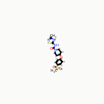 Cc1nsc(NC(=O)N2CCC(Oc3ccc(S(C)(=O)=O)cc3)CC2)n1